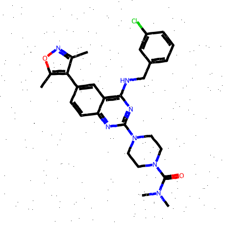 Cc1noc(C)c1-c1ccc2nc(N3CCN(C(=O)N(C)C)CC3)nc(NCc3cccc(Cl)c3)c2c1